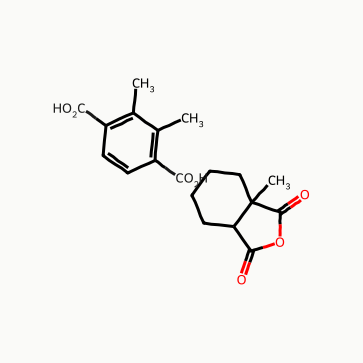 CC12CCCCC1C(=O)OC2=O.Cc1c(C(=O)O)ccc(C(=O)O)c1C